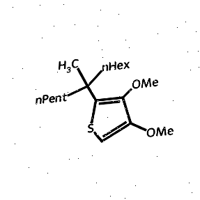 CCCCCCC(C)(CCCCC)c1scc(OC)c1OC